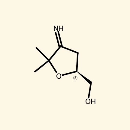 CC1(C)O[C@H](CO)CC1=N